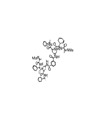 CN[C@@H](C)C(=O)N[C@H](C(=O)N1C[C@@H](NC(=O)c2cccc(C(=O)N[C@H]3C[C@@H](C(=O)N[C@H](C)c4ccccc4)N(C(=O)[C@@H](NC(=O)[C@H](C)NC)C4C=CC=CC4)C3)c2)C[C@H]1C(=O)N[C@H](C)c1ccccc1)c1ccccc1